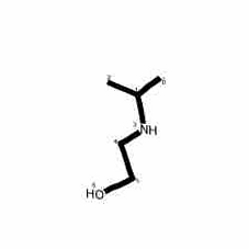 [CH2]C(C)NCCO